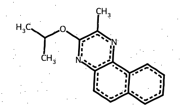 Cc1nc2c(ccc3ccccc32)nc1OC(C)C